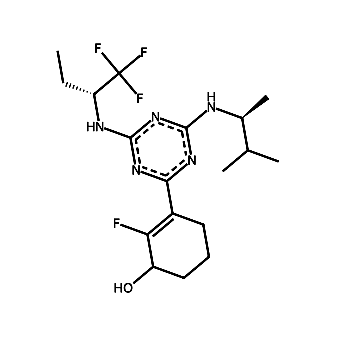 CC[C@@H](Nc1nc(N[C@@H](C)C(C)C)nc(C2=C(F)C(O)CCC2)n1)C(F)(F)F